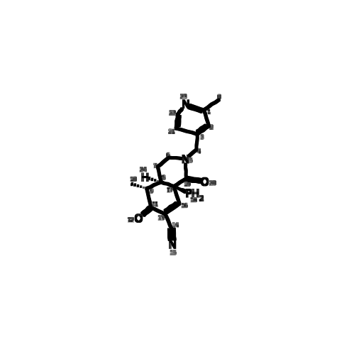 Cc1cc(CN2CC[C@@H]3[C@@H](C)C(=O)C(C#N)=C[C@@]3(P)C2=O)ccn1